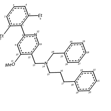 CCc1cccc(CC)c1-c1cc(OC)c(CN(CCCc2ccccc2)Cc2ccccc2)cn1